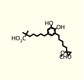 CC(C)(CCCCCc1cc(O)c(O)c(CCCCCC2(OC=O)CC2)c1)C(=O)O